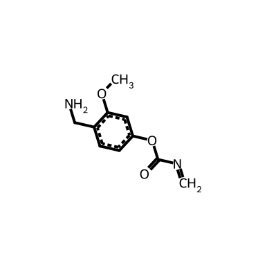 C=NC(=O)Oc1ccc(CN)c(OC)c1